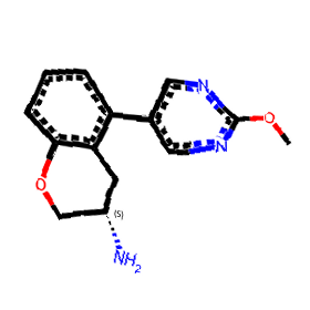 COc1ncc(-c2cccc3c2C[C@H](N)CO3)cn1